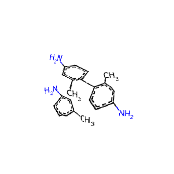 Cc1cc(N)ccc1-c1ccc(N)cc1C.Cc1cccc(N)c1